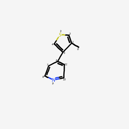 Cc1cscc1-c1ccncc1